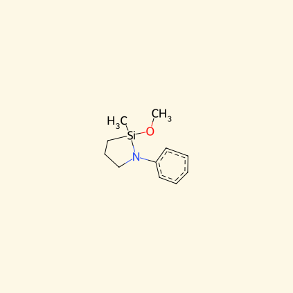 CO[Si]1(C)CCCN1c1ccccc1